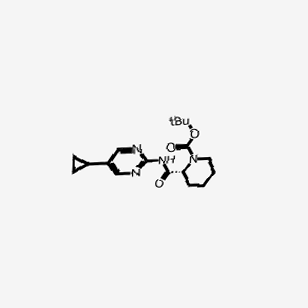 CC(C)(C)OC(=O)N1CCCC[C@@H]1C(=O)Nc1ncc(C2CC2)cn1